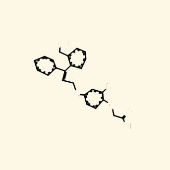 CCc1ccccc1/C(=C\CSc1ccc(OCC(=O)O)c(Br)c1)c1ccccc1